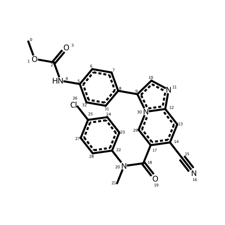 COC(=O)Nc1ccc(-c2cnc3cc(C#N)c(C(=O)N(C)c4ccc(Cl)cc4)cn23)cc1